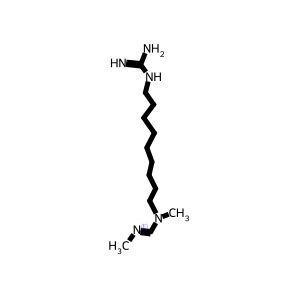 C/N=C/N(C)CCCCCCCCCNC(=N)N